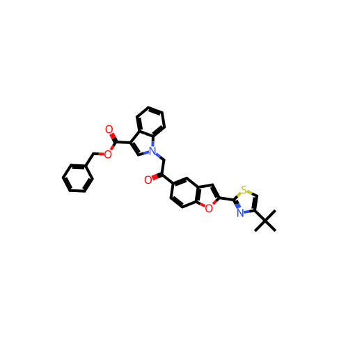 CC(C)(C)c1csc(-c2cc3cc(C(=O)Cn4cc(C(=O)OCc5ccccc5)c5ccccc54)ccc3o2)n1